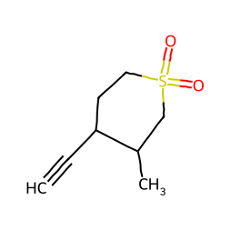 C#CC1CCS(=O)(=O)CC1C